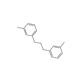 Cc1cccc(CCCc2cccc(C)c2)c1